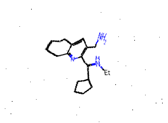 CCNC(c1nc2c(cc1CN)CCCC2)C1CCCC1